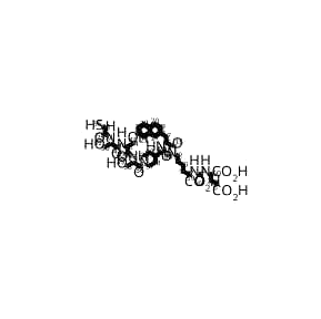 O=C(O)CCC(NC(=O)NC(CCCCNC(=O)C(Cc1ccc2ccccc2c1)NC(=O)C1CCN(C(=O)C(CO)NC(=O)C(CO)NC(=O)C(CO)NC(=O)CS)CC1)C(=O)O)C(=O)O